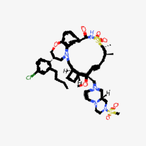 CCCCc1cc(Cl)ccc1[C@@H]1COc2ccc3cc2N(C1)C[C@@H]1CC[C@H]1[C@@](CN1CCN2CCN(S(C)(=O)=O)C[C@H]2C1)(OC)/C=C/C[C@H](C)[C@@H](C)S(=O)(=O)NC3=O